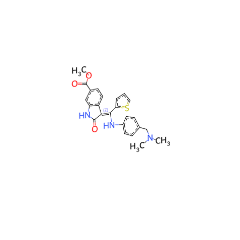 COC(=O)c1ccc2c(c1)NC(=O)/C2=C(\Nc1ccc(CN(C)C)cc1)c1cccs1